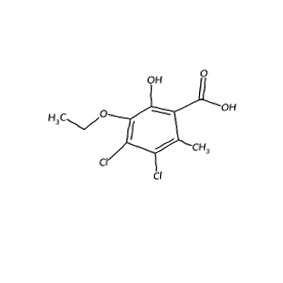 CCOc1c(O)c(C(=O)O)c(C)c(Cl)c1Cl